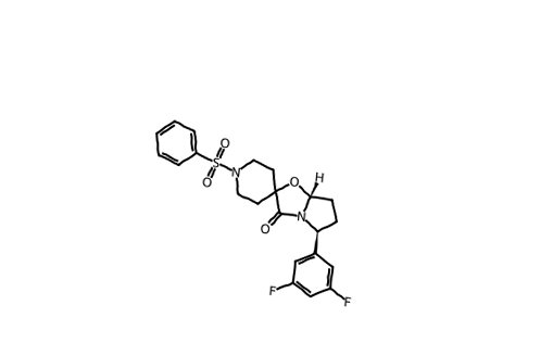 O=C1N2[C@@H](CC[C@H]2c2cc(F)cc(F)c2)OC12CCN(S(=O)(=O)c1ccccc1)CC2